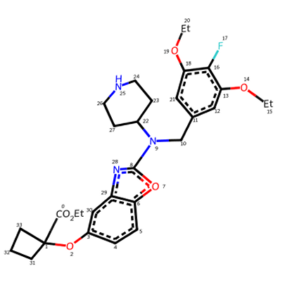 CCOC(=O)C1(Oc2ccc3oc(N(Cc4cc(OCC)c(F)c(OCC)c4)C4CCNCC4)nc3c2)CCC1